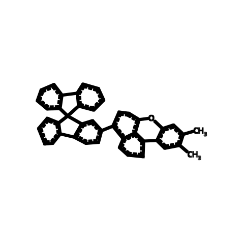 Cc1cc2c(cc1C)-c1cccc3c(-c4ccc5c(c4)C4(c6ccccc6-c6ccccc64)c4ccccc4-5)ccc(c13)O2